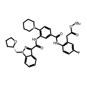 CC(C)(C)OC(=O)Cc1cc(F)ccc1NC(=O)c1ccc(N2CCCCC2)c(NC(=O)c2nn(C[C@@H]3CCCO3)c3ccccc23)c1